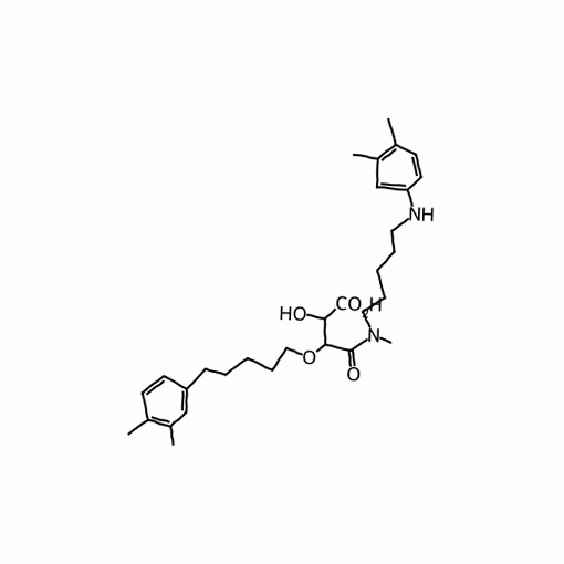 Cc1ccc(CCCCCOC(C(=O)N(C)CCCCCNc2ccc(C)c(C)c2)C(O)C(=O)O)cc1C